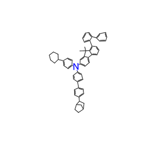 CC1(C)c2cc(N(c3ccc(-c4ccc(C5CC6CCC5C6)cc4)cc3)c3ccc(C4CCCCC4)cc3)ccc2-c2cccc(-c3ccccc3-c3ccccc3)c21